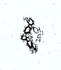 Cl.Cn1c2c(c3ccc(-n4cccc(-c5ccc(C(F)(F)F)cn5)c4=O)cc31)CNCCC2